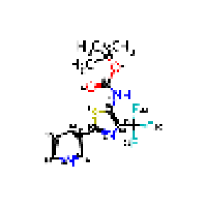 CC(C)(C)OC(=O)Nc1sc(-c2cccnc2)nc1C(F)(F)F